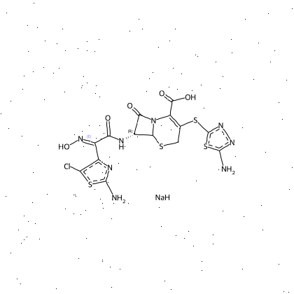 Nc1nnc(SC2=C(C(=O)O)N3C(=O)[C@@H](NC(=O)/C(=N/O)c4nc(N)sc4Cl)C3SC2)s1.[NaH]